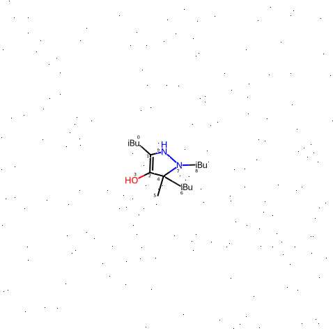 CCC(C)C1=C(O)C(C)(C(C)CC)N(C(C)CC)N1